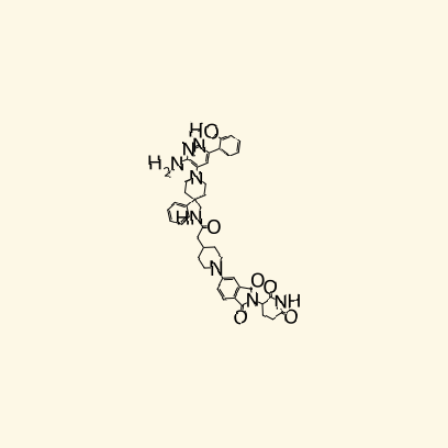 Nc1nnc(-c2ccccc2O)cc1N1CCC(CNC(=O)CC2CCN(c3ccc4c(c3)C(=O)N(C3CCC(=O)NC3=O)C4=O)CC2)(c2ccccc2)CC1